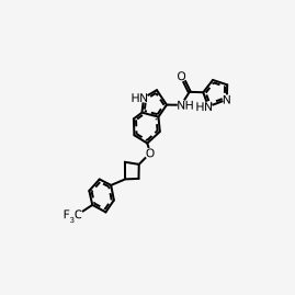 O=C(Nc1c[nH]c2ccc(OC3CC(c4ccc(C(F)(F)F)cc4)C3)cc12)c1ccn[nH]1